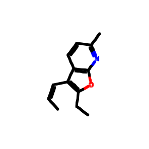 C/C=C\c1c(CC)oc2nc(C)ccc12